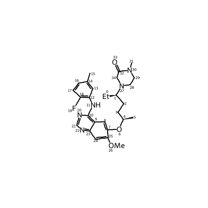 CC[C@H](CC[C@@H](C)Oc1cc2c(Nc3cc(C)ccc3F)ncnc2cc1OC)N1CCN(C)C(=O)C1